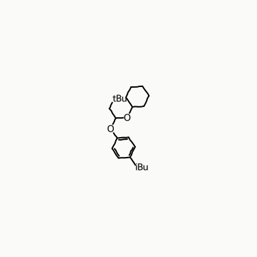 CCC(C)c1ccc(OC(CC(C)(C)C)OC2CCCCC2)cc1